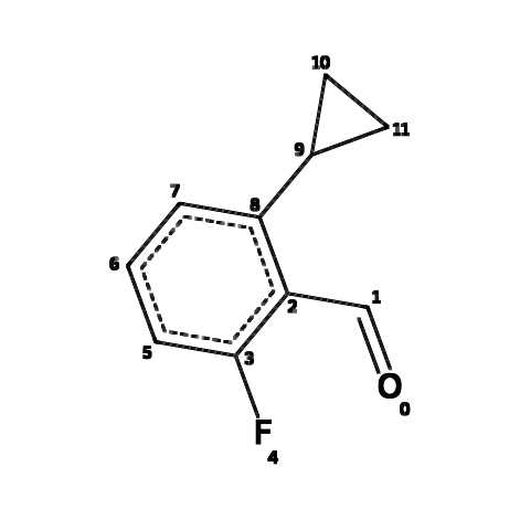 O=Cc1c(F)cccc1C1CC1